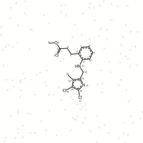 COC(=O)CCc1ccccc1NCc1nc(Cl)c(Cl)n1C